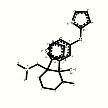 CC1CCCC(CN(C)C)(c2cccs2)C1(O)c1cccc(Oc2cccs2)c1